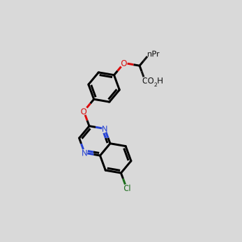 CCCC(Oc1ccc(Oc2cnc3cc(Cl)ccc3n2)cc1)C(=O)O